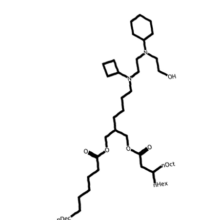 CCCCCCCCCCCCCCCC(=O)OCC(CCCCN(CCN(CCO)C1CCCCC1)C1CCC1)COC(=O)CC(CCCCCC)CCCCCCCC